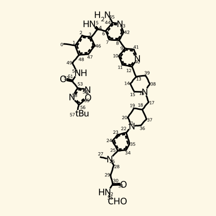 Cc1cc(C(=N)c2cc(-c3ccc(C4CCN(CC5CCN(c6ccc(N(C)CCC(=O)NC=O)cc6)CC5)CC4)nc3)cnc2N)ccc1CNC(=O)c1noc(C(C)(C)C)n1